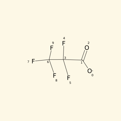 [O]C(=O)C(F)(F)C(F)(F)F